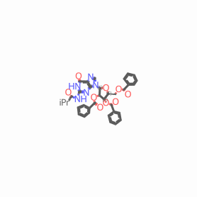 CC(C)C(=O)Nc1nc2c(ncn2[C@H]2O[C@@H](COC(=O)c3ccccc3)[C@@H](OC(=O)c3ccccc3)C2OC(=O)c2ccccc2)c(=O)[nH]1